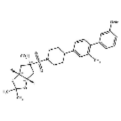 COc1cccc(-c2ccc(C3CCN(S(=O)(=O)[C@@]4(C(=O)O)C[C@@H]5OC(C)(C)O[C@@H]5C4)CC3)cc2C)c1